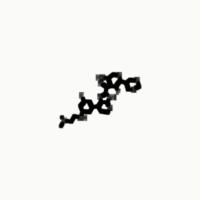 CN(C)CCNc1cc(F)cc(-c2ccnc3[nH]c(-c4n[nH]c5cnc(-c6cncnc6)c(F)c45)nc23)c1